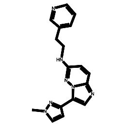 Cn1ccc(-c2cnc3ccc(NCCc4cccnc4)nn23)n1